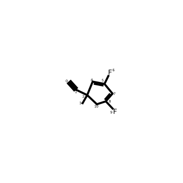 C#CC1(C)C=C(F)C=C(F)C1